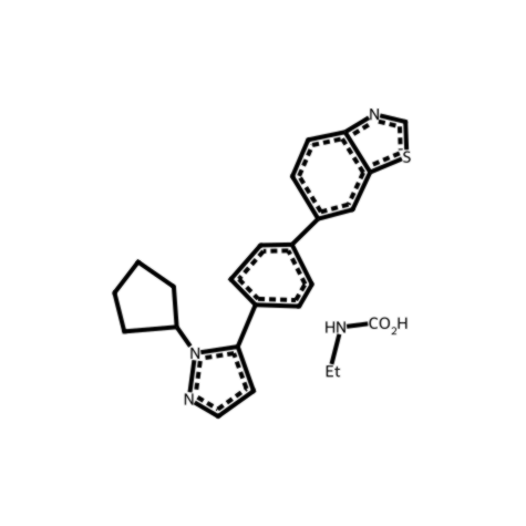 CCNC(=O)O.c1cc(-c2ccc(-c3ccc4ncsc4c3)cc2)n(C2CCCC2)n1